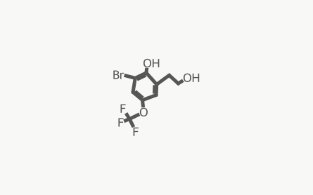 OCCc1cc(OC(F)(F)F)cc(Br)c1O